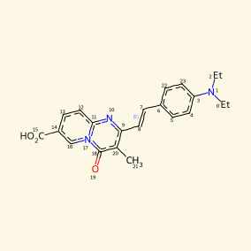 CCN(CC)c1ccc(/C=C/c2nc3ccc(C(=O)O)cn3c(=O)c2C)cc1